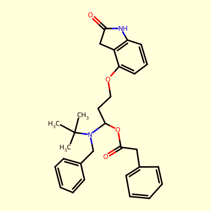 CC(C)(C)N(Cc1ccccc1)C(CCOc1cccc2c1CC(=O)N2)OC(=O)Cc1ccccc1